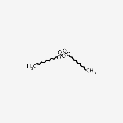 CCCCCCCCCCOC(=O)OC(=O)OCCCCCCCCCC